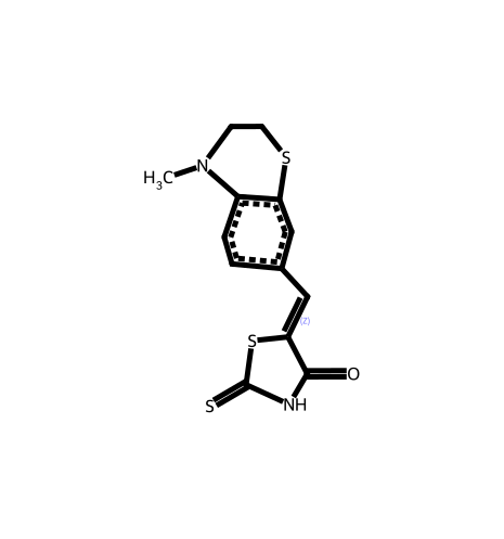 CN1CCSc2cc(/C=C3\SC(=S)NC3=O)ccc21